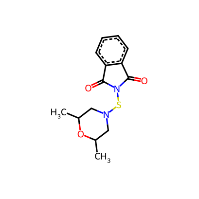 CC1CN(SN2C(=O)c3ccccc3C2=O)CC(C)O1